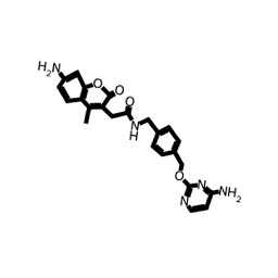 Cc1c(CC(=O)NCc2ccc(COc3nccc(N)n3)cc2)c(=O)oc2cc(N)ccc12